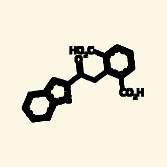 O=C(Cc1c(C(=O)O)cccc1C(=O)O)c1cc2ccccc2s1